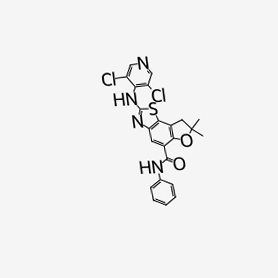 CC1(C)Cc2c(c(C(=O)Nc3ccccc3)cc3nc(Nc4c(Cl)cncc4Cl)sc23)O1